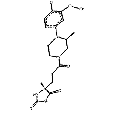 CCOc1cc(N2CCN(C(=O)CC[C@@]3(C)NC(=O)NC3=O)C[C@@H]2C)ccc1Cl